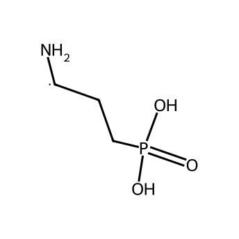 N[CH]CCP(=O)(O)O